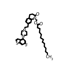 CCCCCCCCCCCCCC(=O)OCN1C(=O)CCc2ccc(CCN3CCN(c4cc(F)cc5sccc45)CC3)cc21